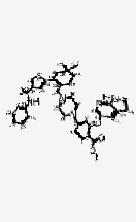 COC(=O)c1ccc(N2CCN(CC3=C(c4cc(C(=O)Nc5ccccc5)cs4)CC(C)(C)CC3)CC2)cc1Oc1cnc2[nH]ccc2c1